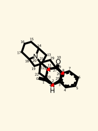 C=C1Nc2ccccc2C(=O)N1C1CC2CCCC(C1)N2C1CC2CCCC(C2)C1